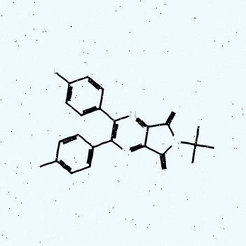 CC(C)(C)N1C(=O)c2nc(-c3ccc(Cl)cc3)c(-c3ccc(Cl)cc3)nc2C1=O